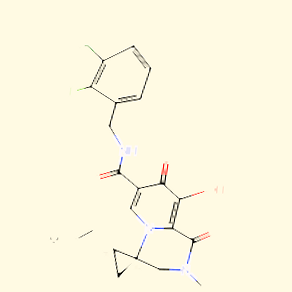 COC[C@H]1C[C@@]12CN(C)C(=O)c1c(O)c(=O)c(C(=O)NCc3cccc(Cl)c3F)cn12.Cl